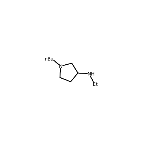 CCCCN1CCC(NCC)C1